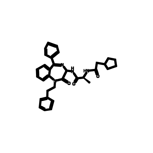 C[C@H](NC(=O)CC1CCCC1)C(=O)NC1N=C(c2ccccc2)c2ccccc2N(CCc2ccccc2)C1=O